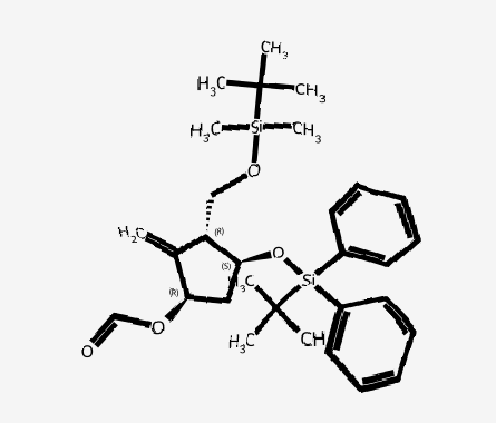 C=C1[C@H](OC=O)C[C@H](O[Si](c2ccccc2)(c2ccccc2)C(C)(C)C)[C@H]1CO[Si](C)(C)C(C)(C)C